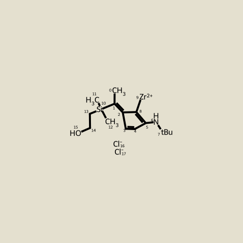 CC(=C1C=CC(NC(C)(C)C)=[C]1[Zr+2])[Si](C)(C)CCO.[Cl-].[Cl-]